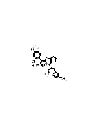 CCN(Cc1cc(C)cs1)c1c2c(nc3c(-c4ccc(OC)cc4Cl)c(C)nn13)CCC2